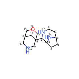 C1CC2CC[C](N2)C(C23CNCC(COC2)C3)N1